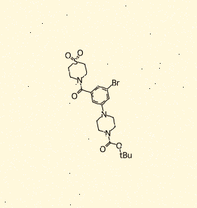 CC(C)(C)OC(=O)N1CCN(c2cc(Br)cc(C(=O)N3CCS(=O)(=O)CC3)c2)CC1